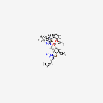 CCC/C=C(\N)Sc1cc(CC(=O)N/C(S/C(=C(/C)CC)c2ccccc2OC)=C(/C)CC)ccc1C